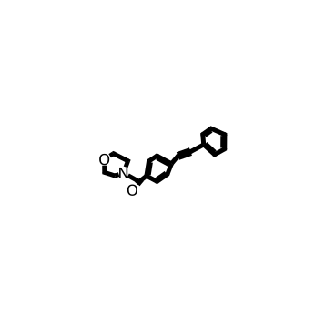 O=C(c1ccc(C#Cc2ccccc2)cc1)N1CCOCC1